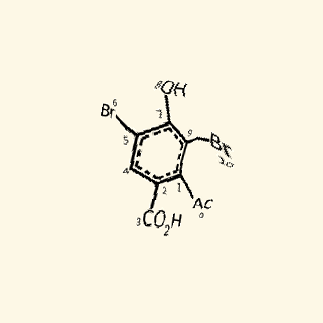 CC(=O)c1c(C(=O)O)cc(Br)c(O)c1Br